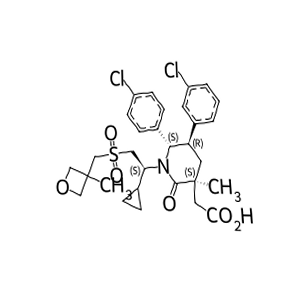 CC1(CS(=O)(=O)C[C@H](C2CC2)N2C(=O)[C@](C)(CC(=O)O)C[C@H](c3cccc(Cl)c3)[C@H]2c2ccc(Cl)cc2)COC1